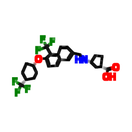 O=C(O)[C@H]1CC[C@@H](NCc2ccc3c(C(F)(F)F)c(O[C@H]4CC[C@@H](C(F)(F)F)CC4)ccc3c2)C1